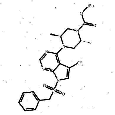 C[C@@H]1CN(c2ncnc3c2c(C(F)(F)F)cn3S(=O)(=O)Cc2ccccc2)[C@@H](C)CN1C(=O)OC(C)(C)C